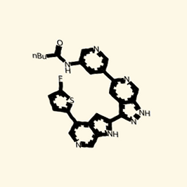 CCCCC(=O)Nc1cncc(-c2cc3c(-c4cc5c(-c6ccc(F)s6)cncc5[nH]4)n[nH]c3cn2)c1